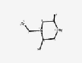 CC(C)CN1CC(C)NCC1C